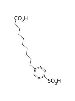 O=C(O)CCCCCCCCCc1ccc(S(=O)(=O)O)cc1